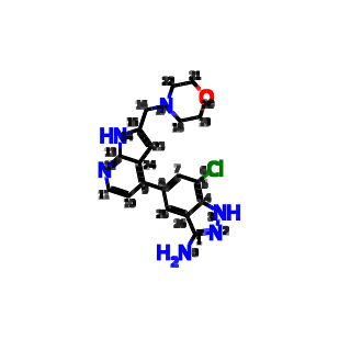 Nc1n[nH]c2c(Cl)cc(-c3ccnc4[nH]c(CN5CCOCC5)cc34)cc12